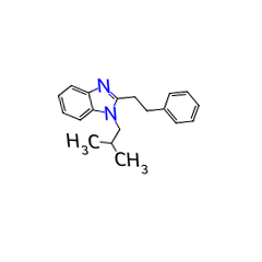 CC(C)Cn1c(CCc2ccccc2)nc2ccccc21